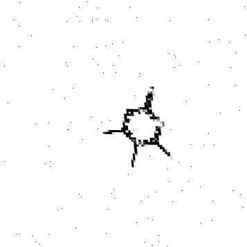 Cc1cc(=O)nc(I)n1I